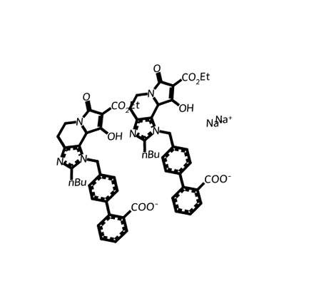 CCCCc1nc2c(n1Cc1ccc(-c3ccccc3C(=O)[O-])cc1)C1C(O)=C(C(=O)OCC)C(=O)N1CC2.CCCCc1nc2c(n1Cc1ccc(-c3ccccc3C(=O)[O-])cc1)C1C(O)=C(C(=O)OCC)C(=O)N1CC2.[Na+].[Na+]